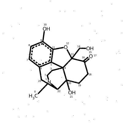 CN1CCC23c4c5ccc(O)c4OC2(CO)C(=O)CCC3(O)C1C5